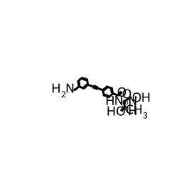 C[C@@H](O)[C@H](NC(=O)c1ccc(C#Cc2cccc(CN)c2)cc1)C(=O)NO